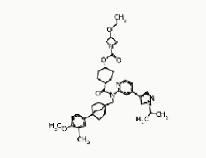 CCOC1CN(C(=O)O[C@H]2CC[C@H](C(=O)N(CC34CCC(c5ccc(OC)c(C)c5)(CC3)CC4)c3cc(-c4cnn(C(C)C)c4)ccn3)CC2)C1